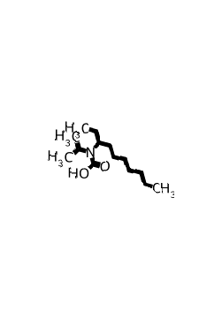 CCCCCCCC(CC)N(C(=O)O)C(C)C